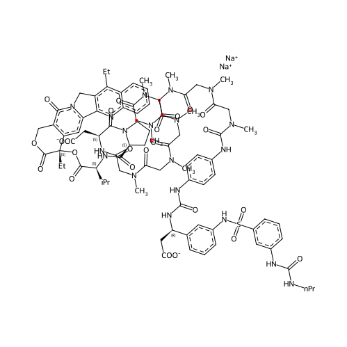 CCCNC(=O)Nc1cccc(S(=O)(=O)Nc2cccc([C@@H](CC(=O)[O-])NC(=O)Nc3ccc(NC(=O)N(C)CC(=O)N(C)CC(=O)N(C)CC(=O)N(C)CC(=O)N(C)CC(=O)N(C)CC(=O)N(C)CC(=O)N(C)CC(=O)N[C@@H](CC(=O)[O-])C(=O)N4CCC[C@H]4C(=O)N[C@H](C(=O)O[C@]4(CC)C(=O)OCc5c4cc4n(c5=O)Cc5c-4nc4ccccc4c5CC)C(C)C)cc3)c2)c1.[Na+].[Na+]